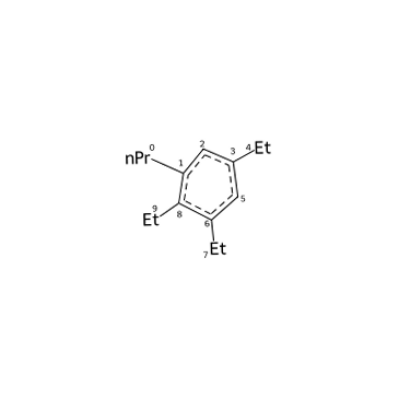 CCCc1cc(CC)cc(CC)c1CC